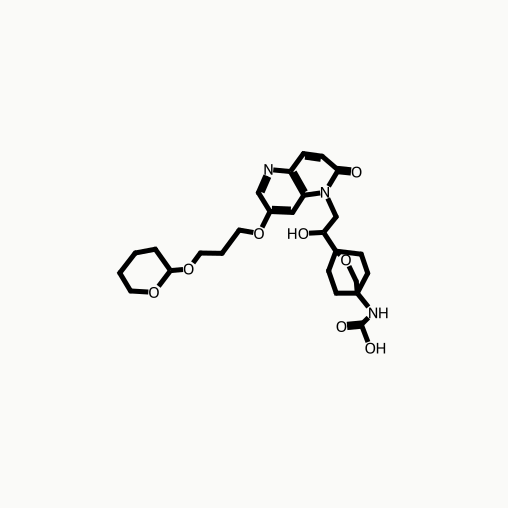 O=C(O)NC12CCC(C(O)Cn3c(=O)ccc4ncc(OCCCOC5CCCCO5)cc43)(CC1)OC2